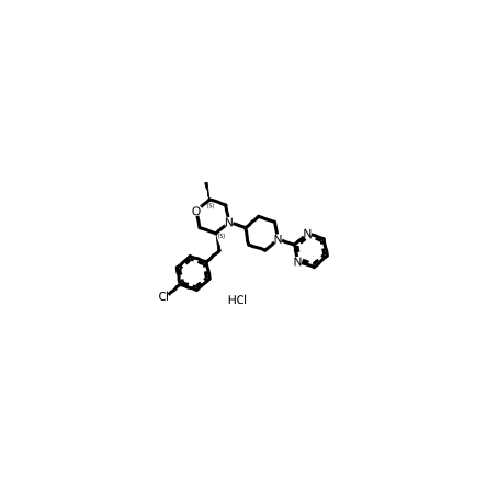 C[C@H]1CN(C2CCN(c3ncccn3)CC2)[C@@H](Cc2ccc(Cl)cc2)CO1.Cl